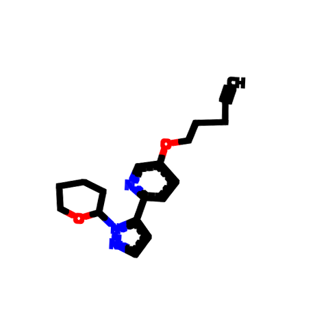 C#CCCCOc1ccc(-c2ccnn2C2CCCCO2)nc1